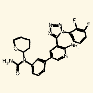 NC(=O)N(c1cccc(-c2cnc(N)c(-c3nnnn3-c3cccc(F)c3F)c2)c1)C1CCCCO1